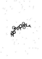 CC1CC1CN(C)S(=O)(=O)c1ccc(CNC(=O)c2ccc3nccn3c2)cc1